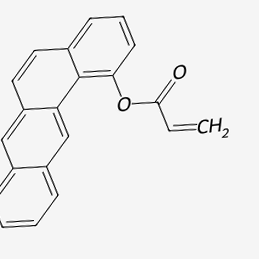 C=CC(=O)Oc1cccc2ccc3cc4ccccc4cc3c12